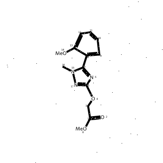 COC(=O)COc1nc(-c2ccccc2OC)n(C)n1